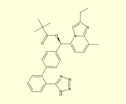 CCc1cn2c([C@H](OC(=O)C(C)(C)C)c3ccc(-c4ccccc4-c4nnn[nH]4)cc3)ccc(C)c2n1